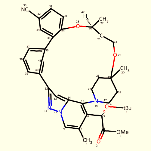 COC(=O)[C@@H](OC(C)(C)C)c1c(C)cn2nc3cc2c1N1CCC(C)(CC1)OCC[C@H](C)Oc1ccc(C#N)cc1-c1cccc-3c1